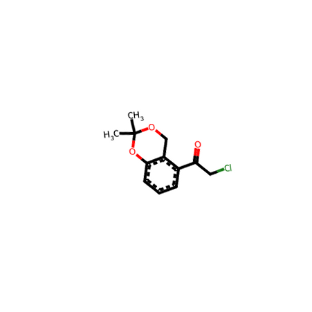 CC1(C)OCc2c(cccc2C(=O)CCl)O1